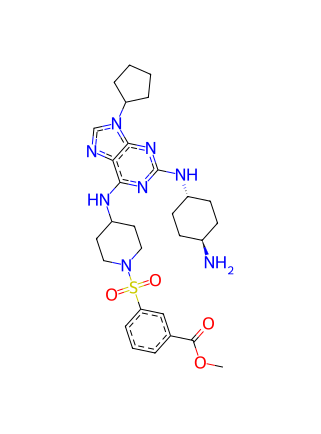 COC(=O)c1cccc(S(=O)(=O)N2CCC(Nc3nc(N[C@H]4CC[C@H](N)CC4)nc4c3ncn4C3CCCC3)CC2)c1